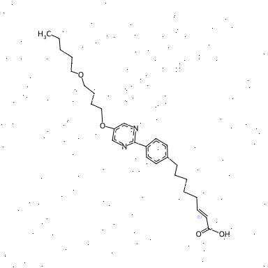 CCCCCOCCCCOc1cnc(-c2ccc(CCCCC/C=C/C(=O)O)cc2)nc1